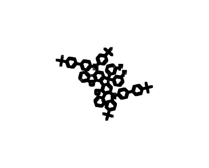 CC(C)(C)c1ccc(-c2ccc(N(c3ccc(C(C)(C)C)cc3)c3cc4c(c5oc6ccccc6c35)-c3c(cc(N(c5ccc(-c6ccc(C(C)(C)C)cc6)cc5)c5ccc(C(C)(C)C)cc5)c5c3oc3ccccc35)C4(c3cccc(F)c3)c3cccc(F)c3)cc2)cc1